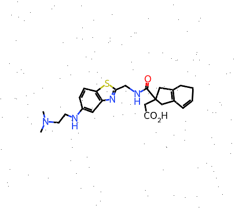 CN(C)CCNc1ccc2sc(CNC(=O)C3(CC(=O)O)CC4=C(CCC=C4)C3)nc2c1